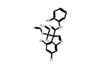 C=CC(C)(OC=O)C1(C(=O)Nc2ccccc2O)C=Nc2cc(Cl)cc(Cl)c21